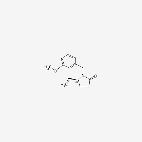 C=C[C@@H]1CCC(=O)N1Cc1cccc(OC)c1